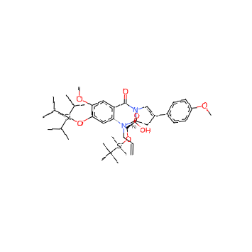 C=CCN(C(=O)O)c1cc(O[Si](C(C)C)(C(C)C)C(C)C)c(OC)cc1C(=O)N1C=C(c2ccc(OC)cc2)C[C@H]1CO[Si](C)(C)C(C)(C)C